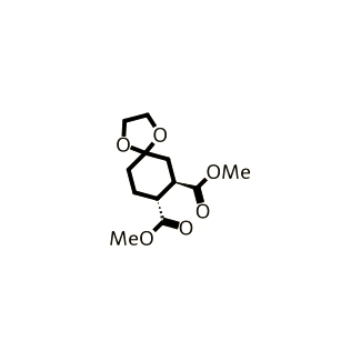 COC(=O)[C@@H]1CCC2(C[C@H]1C(=O)OC)OCCO2